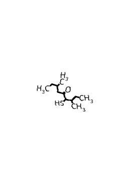 CCC(C)CC(=O)C(S)C(C)CC